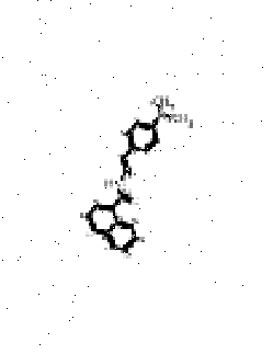 CN(C)c1ccc(/C=N/NC(=O)c2cccc3ccccc23)cc1